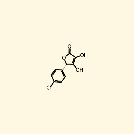 O=C1O[C@@H](c2ccc(Cl)cc2)C(O)=C1O